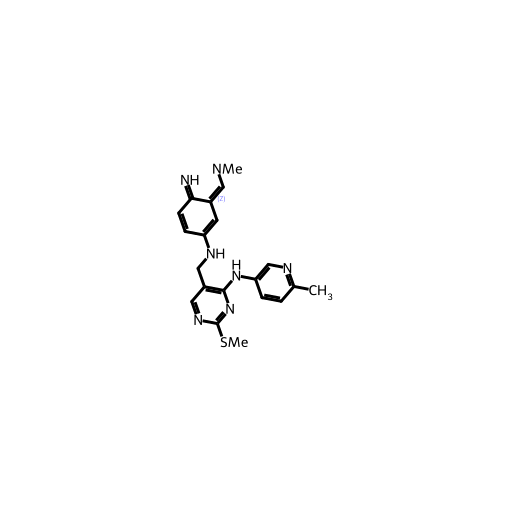 CN/C=C1/C=C(NCc2cnc(SC)nc2Nc2ccc(C)nc2)C=CC1=N